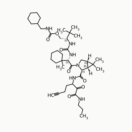 C#CCCC(NC(=O)[C@@H]1[C@@H]2[C@H](CN1C(=O)[C@@H](NC(=O)N[C@H](COC(=O)NCC1CCCCC1)C(C)(C)C)C1(C)CCCCC1)C2(C)C)C(=O)C(=O)NCCC